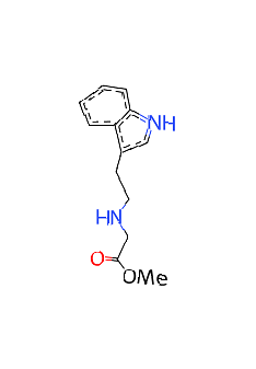 COC(=O)CNCCc1c[nH]c2ccccc12